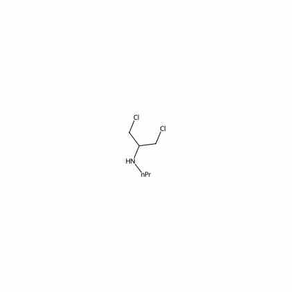 CCCNC(CCl)CCl